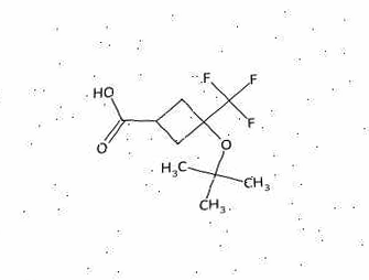 CC(C)(C)OC1(C(F)(F)F)CC(C(=O)O)C1